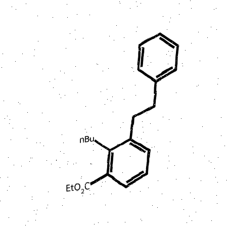 CCCCc1c(CCc2ccccc2)cccc1C(=O)OCC